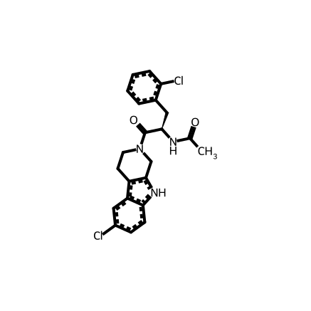 CC(=O)N[C@H](Cc1ccccc1Cl)C(=O)N1CCc2c([nH]c3ccc(Cl)cc23)C1